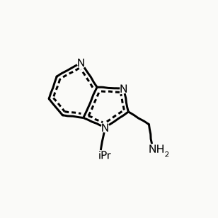 CC(C)n1c(CN)nc2ncccc21